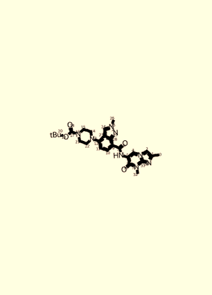 Cc1cn2cc(NC(=O)c3ccc(N4CCN(C(=O)OC(C)(C)C)CC4)c4cn(C)nc34)c(=O)n(C)c2n1